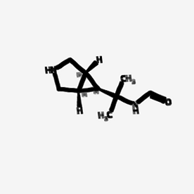 CC(C)(NC=O)[C@H]1[C@@H]2CNC[C@@H]21